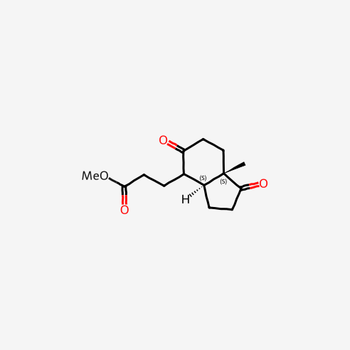 COC(=O)CCC1C(=O)CC[C@]2(C)C(=O)CC[C@@H]12